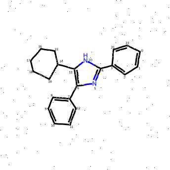 c1ccc(-c2nc(-c3ccccc3)c(C3CCCCC3)[nH]2)cc1